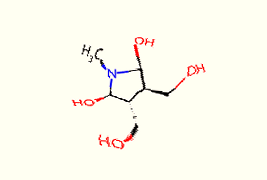 CN1[C@H](O)[C@@H](CO)[C@H](CO)[C@@H]1O